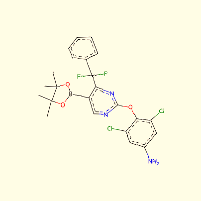 CC1(C)OB(c2cnc(Oc3c(Cl)cc(N)cc3Cl)nc2C(F)(F)c2ccccc2)OC1(C)C